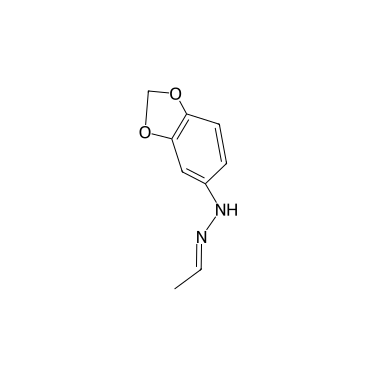 CC=NNc1ccc2c(c1)OCO2